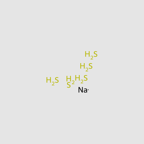 S.S.S.S.S.[Na]